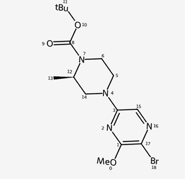 COc1nc(N2CCN(C(=O)OC(C)(C)C)[C@H](C)C2)cnc1Br